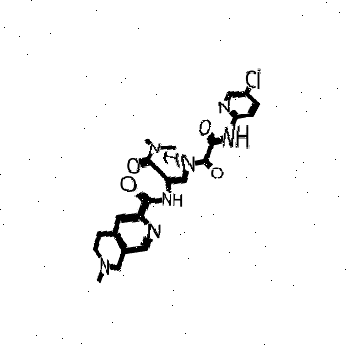 CN1CCc2cc(C(=O)NC(CNC(=O)C(=O)Nc3ccc(Cl)cn3)C(=O)N(C)C)ncc2C1